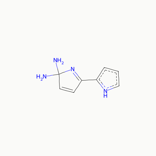 NC1(N)C=CC(c2ccc[nH]2)=N1